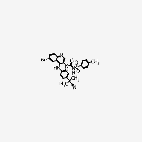 Cc1ccc(S(=O)(=O)NC(=O)Nc2cnc3ccc(Br)cc3c2Nc2ccc(C(C)(C)C#N)cc2)cc1